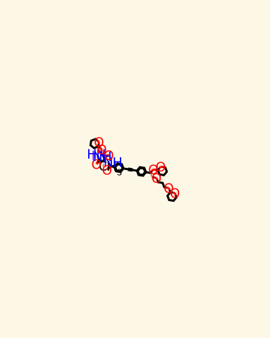 C[C@](NC(=O)c1ccc(C#Cc2ccc([C@@H](COCCCOC3CCCCO3)OC3CCCCO3)cc2)cc1)(C(=O)NI)C(=O)NOC1CCCCO1